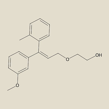 COc1cccc(C(=CCOCCO)c2ccccc2C)c1